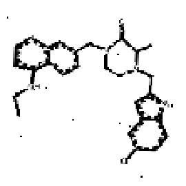 CCNc1ccnc2cc(CN3CCN(Cc4cc5cc(Cl)ccc5[nH]4)C(C)C3=O)ccc12